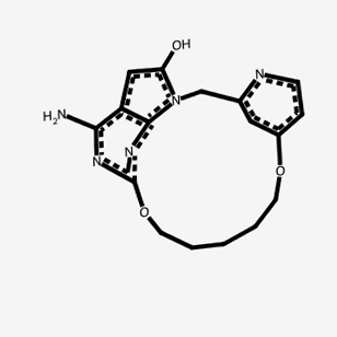 Nc1nc2nc3c1cc(O)n3Cc1cc(ccn1)OCCCCCO2